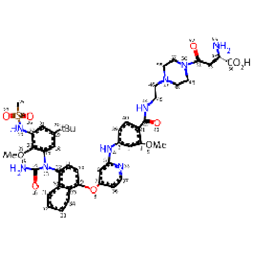 COc1cc(Nc2cc(Oc3ccc(N(C(N)=O)c4cc(C(C)(C)C)cc(NS(C)(=O)=O)c4OC)c4ccccc34)ccn2)ccc1C(=O)NCCN1CCN(C(=O)C[C@H](N)C(=O)O)CC1